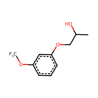 CC(O)COc1cccc(OC(F)(F)F)c1